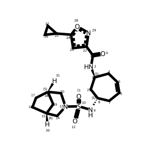 O=C(N[C@H]1CC=CC[C@H](NS(=O)(=O)N2C[C@@H]3CC[C@@H](C3)C2)C1)c1cc(C2CC2)on1